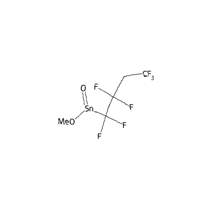 C[O][Sn](=[O])[C](F)(F)C(F)(F)CC(F)(F)F